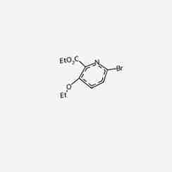 CCOC(=O)c1nc(Br)ccc1OCC